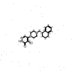 O=c1[nH]ncc(N2CCN(C[C@@H]3CCCc4ccccc43)CC2)c1Cl